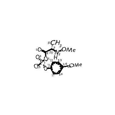 CON[C@@H](C)C(=O)OP(=O)(Cl)Oc1ccc(OC)cc1